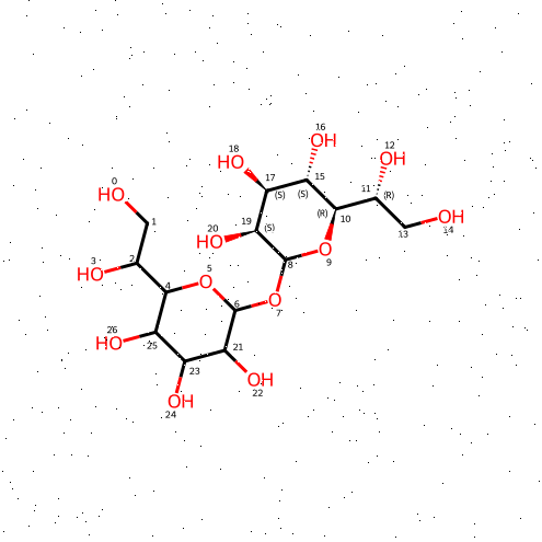 OCC(O)C1OC(OC2O[C@H]([C@H](O)CO)[C@@H](O)[C@H](O)[C@@H]2O)C(O)C(O)C1O